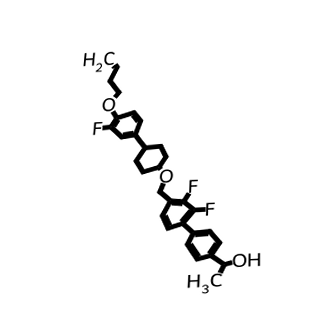 C=CCCOc1ccc(C2CCC(OCc3ccc(-c4ccc(C(C)O)cc4)c(F)c3F)CC2)cc1F